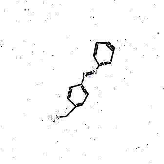 NCc1ccc(/N=N/c2cc#ccc2)cc1